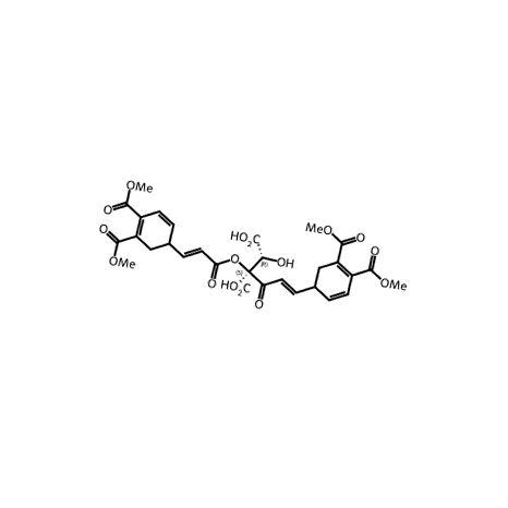 COC(=O)C1=C(C(=O)OC)CC(C=CC(=O)O[C@](C(=O)O)(C(=O)C=CC2C=CC(C(=O)OC)=C(C(=O)OC)C2)[C@@H](O)C(=O)O)C=C1